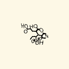 CCC(C(c1ccncc1)C(CCC(=O)O)C(=O)O)S(=O)(=O)O